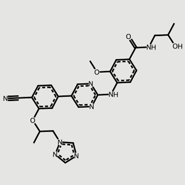 COc1cc(C(=O)NCC(C)O)ccc1Nc1ncc(-c2ccc(C#N)c(OC(C)Cn3cncn3)c2)cn1